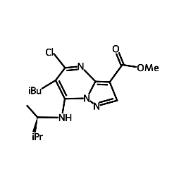 CCC(C)c1c(Cl)nc2c(C(=O)OC)cnn2c1N[C@H](C)C(C)C